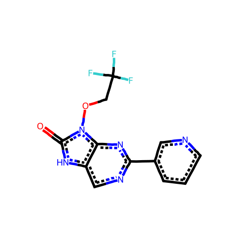 O=c1[nH]c2cnc(-c3cccnc3)nc2n1OCC(F)(F)F